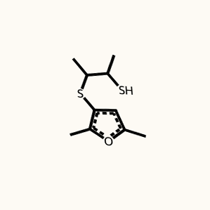 Cc1cc(SC(C)C(C)S)c(C)o1